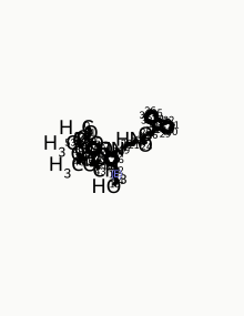 COC(=O)[C@H]1O[C@@H](Oc2ccc(/C=C/CO)cc2NCCCNC(=O)OCC2c3ccccc3-c3ccccc32)[C@H](OC(C)=O)[C@@H](OC(C)=O)[C@@H]1OC(C)=O